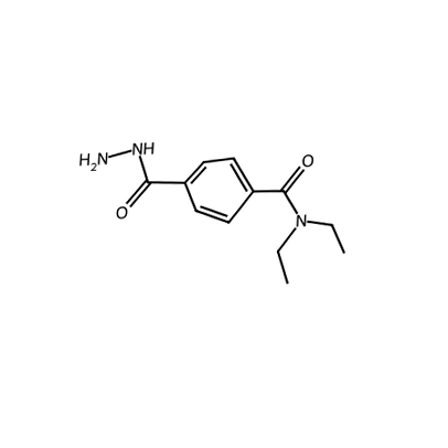 CCN(CC)C(=O)c1ccc(C(=O)NN)cc1